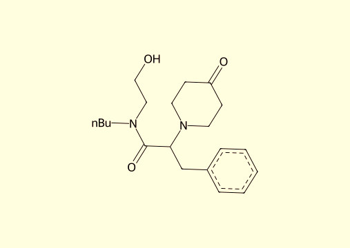 CCCCN(CCO)C(=O)C(Cc1ccccc1)N1CCC(=O)CC1